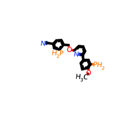 COc1ccc(-c2cccc(OCc3ccc(C#N)cc3P)n2)cc1P